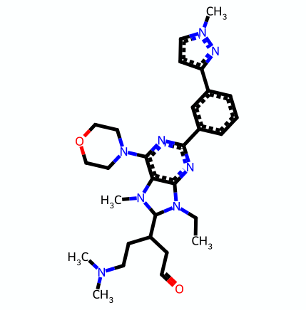 CCN1c2nc(-c3cccc(-c4ccn(C)n4)c3)nc(N3CCOCC3)c2N(C)C1C(CC=O)CCN(C)C